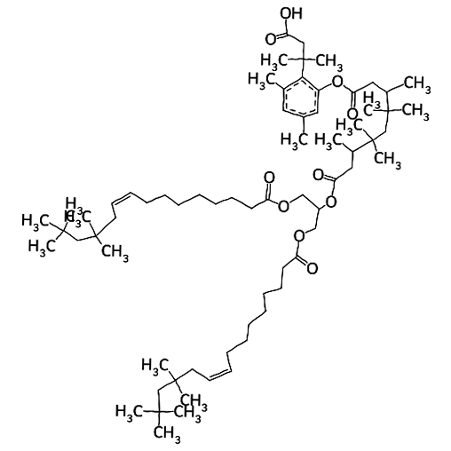 Cc1cc(C)c(C(C)(C)CC(=O)O)c(OC(=O)CC(C)C(C)(C)CC(C)(C)C(C)CC(=O)OC(COC(=O)CCCCCCC/C=C\CC(C)(C)CC(C)(C)C)COC(=O)CCCCCCC/C=C\CC(C)(C)CC(C)(C)C)c1